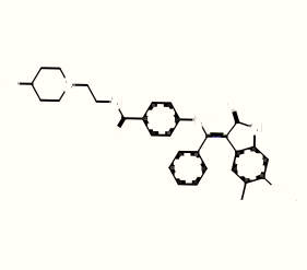 Cc1cc2c(cc1C(=O)O)NC(=O)/C2=C(\Nc1ccc(C(=O)NCCN2CCC(O)CC2)cc1)c1ccccc1